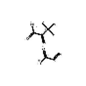 C=C(C(N)=O)C(C)(C)C.C=CC(=O)O